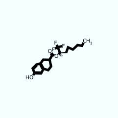 CCCCCC[C@@H](OC(=O)C1CCc2cc(O)ccc2C1)C(F)(F)F